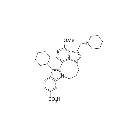 COc1ccc2c3c1c(CN1CCCCC1)cn3CCCn1c-2c(C2CCCCC2)c2ccc(C(=O)O)cc21